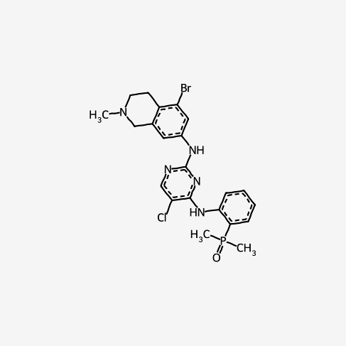 CN1CCc2c(Br)cc(Nc3ncc(Cl)c(Nc4ccccc4P(C)(C)=O)n3)cc2C1